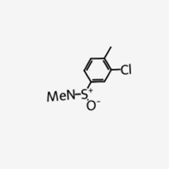 CN[S+]([O-])c1ccc(C)c(Cl)c1